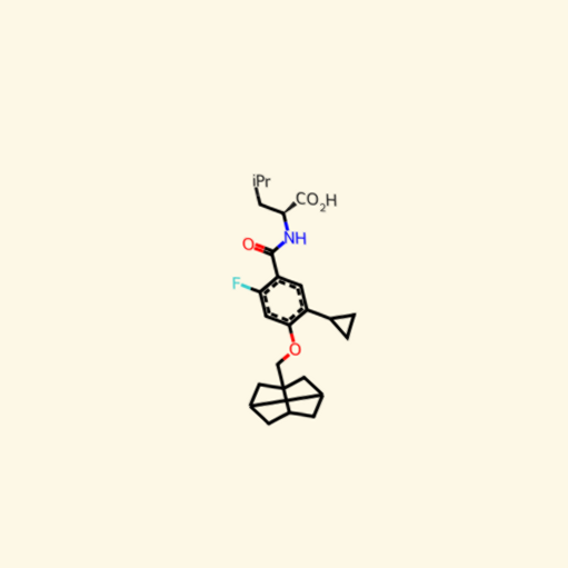 CC(C)C[C@H](NC(=O)c1cc(C2CC2)c(OCC23CC4CC2CC4C3)cc1F)C(=O)O